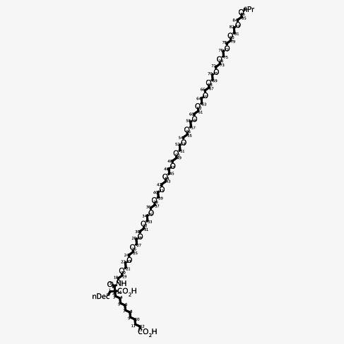 CCCCCCCCCCCC(CCCCCCCCCCC(=O)O)(C(=O)O)C(=O)NCCOCCOCCOCCOCCOCCOCCOCCOCCOCCOCCOCCOCCOCCOCCOCCOCCOCCOCCOCCOCCOCCOCCOCCC